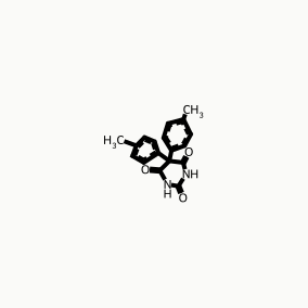 Cc1ccc(C2(c3ccc(C)cc3)C(=O)NC(=O)NC2=O)cc1